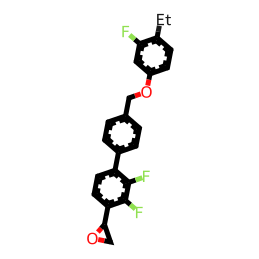 CCc1ccc(OCc2ccc(-c3ccc(C4CO4)c(F)c3F)cc2)cc1F